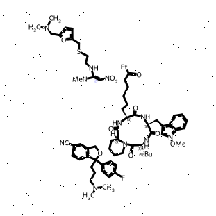 CCC(=O)CCCCC[C@@H]1NC(=O)[C@H]2CCCCN2C(=O)[C@H]([C@@H](C)CC)NC(=O)[C@H](Cc2cn(OC)c3ccccc23)NC1=O.CN(C)CCCC1(c2ccc(F)cc2)OCc2cc(C#N)ccc21.CN/C(=C/[N+](=O)[O-])NCCSCc1ccc(CN(C)C)o1